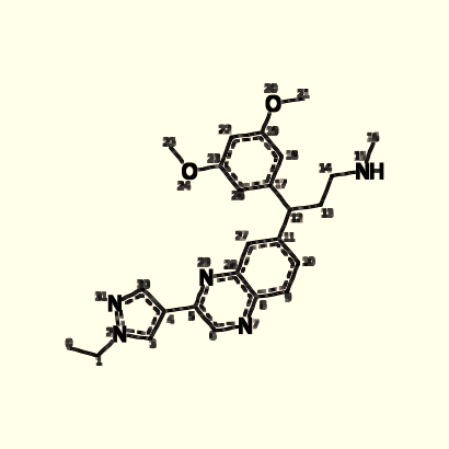 CCn1cc(-c2cnc3ccc(C(CCNC)c4cc(OC)cc(OC)c4)cc3n2)cn1